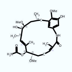 COc1c(O)cc2cc1C[C@@H](C)C[C@H](OC)[C@H](O)[C@@H](C)/C=C(\C)[C@H](OC(N)=O)[C@@H](OC)CC/C=C(\C)C(=O)N2